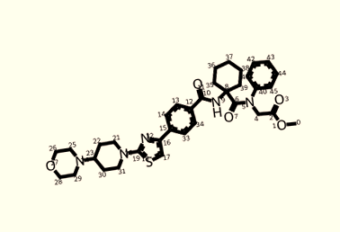 COC(=O)CN(C(=O)C1(NC(=O)c2ccc(-c3csc(N4CCC(N5CCOCC5)CC4)n3)cc2)CCCCC1)c1ccccc1